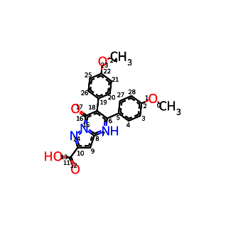 COc1ccc(-c2[nH]c3cc(C(=O)O)nn3c(=O)c2-c2ccc(OC)cc2)cc1